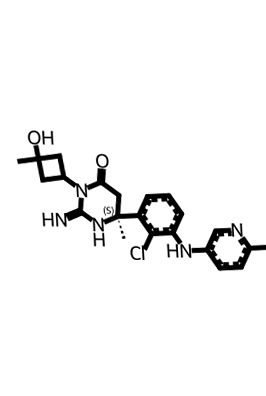 Cc1ccc(Nc2cccc([C@]3(C)CC(=O)N(C4CC(C)(O)C4)C(=N)N3)c2Cl)cn1